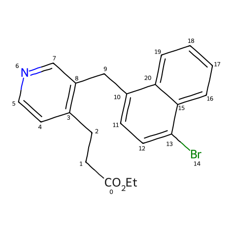 CCOC(=O)CCc1ccncc1Cc1ccc(Br)c2ccccc12